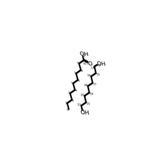 CCCCCCCCCCC(=O)O.OCCCCCCCCCO